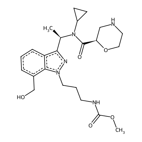 COC(=O)NCCCn1nc([C@@H](C)N(C(=O)[C@H]2CNCCO2)C2CC2)c2cccc(CO)c21